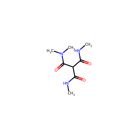 CNC(=O)C(C(=O)NC)C(=O)N(C)C